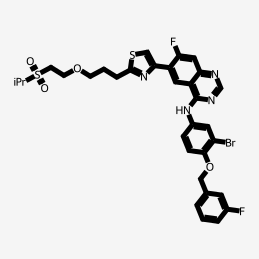 CC(C)S(=O)(=O)CCOCCCc1nc(-c2cc3c(Nc4ccc(OCc5cccc(F)c5)c(Br)c4)ncnc3cc2F)cs1